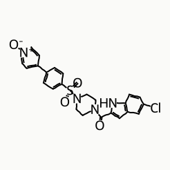 O=C(c1cc2cc(Cl)ccc2[nH]1)N1CCN(S(=O)(=O)c2ccc(-c3cc[n+]([O-])cc3)cc2)CC1